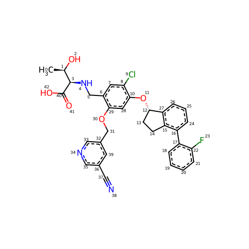 C[C@@H](O)[C@@H](NCc1cc(Cl)c(O[C@H]2CCc3c(-c4ccccc4F)cccc32)cc1OCc1cncc(C#N)c1)C(=O)O